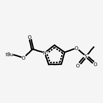 CC(C)(C)OC(=O)n1ccc(OS(C)(=O)=O)c1